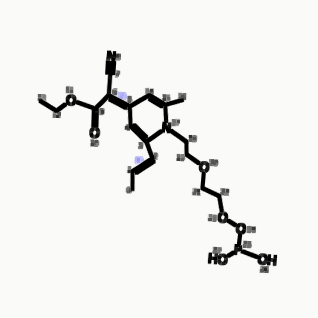 C/C=C/C1=CC(=C(/C#N)C(=O)OCC)/C=C(C)N1CCOCCOOP(O)O